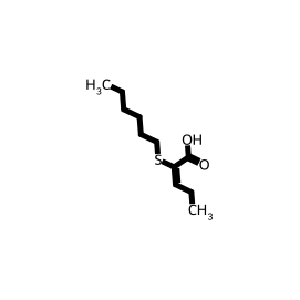 CC/C=C(/SCCCCCC)C(=O)O